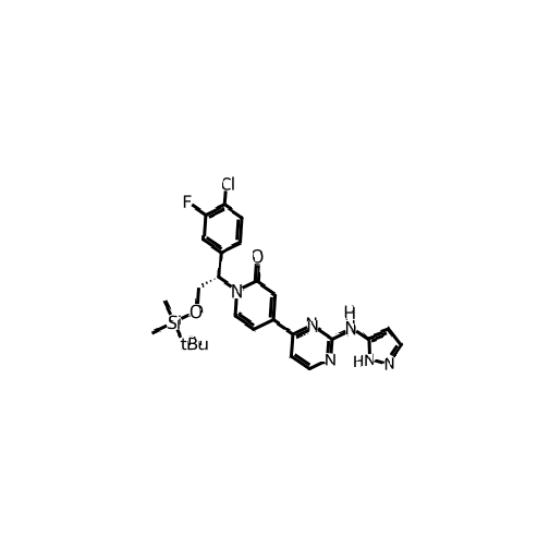 CC(C)(C)[Si](C)(C)OC[C@H](c1ccc(Cl)c(F)c1)n1ccc(-c2ccnc(Nc3ccn[nH]3)n2)cc1=O